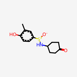 Cc1cc([S+]([O-])NC2CCC(=O)CC2)ccc1O